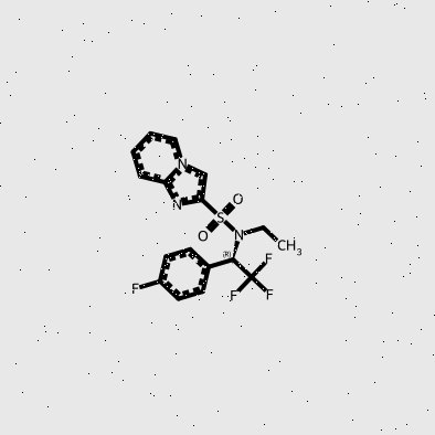 CCN([C@H](c1ccc(F)cc1)C(F)(F)F)S(=O)(=O)c1cn2ccccc2n1